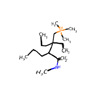 C=C(NC)C(CCC)C(CC)(CC)C[PH](C)(C)C